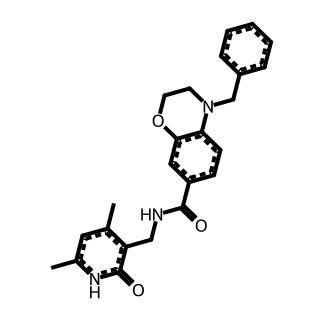 Cc1cc(C)c(CNC(=O)c2ccc3c(c2)OCCN3Cc2ccccc2)c(=O)[nH]1